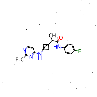 CC(C(=O)Nc1ccc(F)cc1)C12CC(Nc3ccnc(C(F)(F)F)n3)(C1)C2